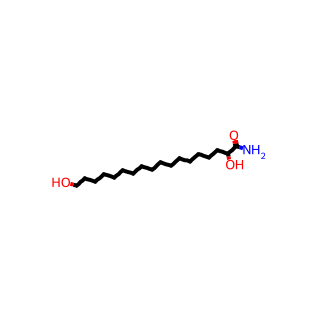 NC(=O)C(O)CCCCCCCCCCCCCCCCO